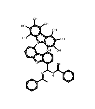 C/C(=N\C(NC(=N)c1ccccc1)c1cccc2c1oc1cccc(-n3c4c(O)c(O)c(O)c(O)c4c4c(O)c(O)c(O)c(O)c43)c12)c1ccccc1